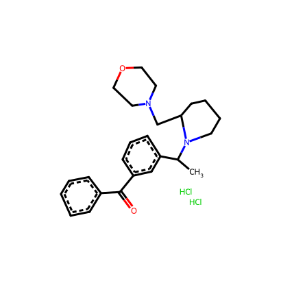 CC(c1cccc(C(=O)c2ccccc2)c1)N1CCCCC1CN1CCOCC1.Cl.Cl